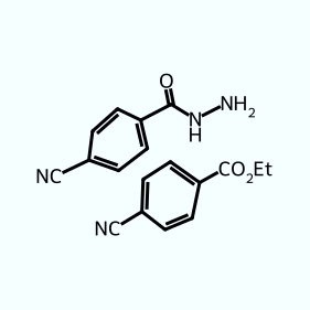 CCOC(=O)c1ccc(C#N)cc1.N#Cc1ccc(C(=O)NN)cc1